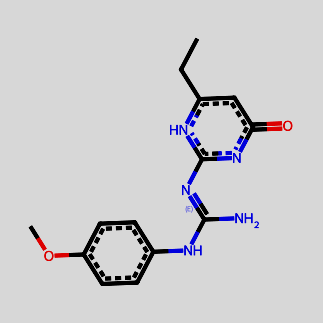 CCc1cc(=O)nc(/N=C(\N)Nc2ccc(OC)cc2)[nH]1